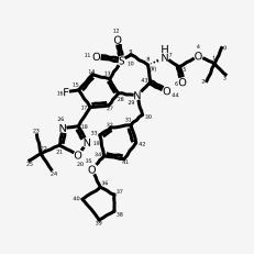 CC(C)(C)OC(=O)N[C@H]1CS(=O)(=O)c2cc(F)c(-c3noc(C(C)(C)C)n3)cc2N(Cc2ccc(OC3CCCC3)cc2)C1=O